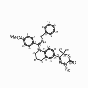 COc1ccc(C(=NCc2ccccc2)N2CCCc3cc(C4=NN(C(C)=O)C(=O)SC4(C)C)ccc32)cc1